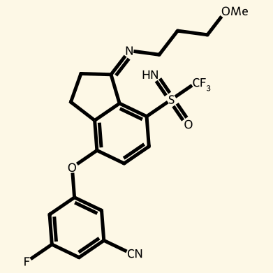 COCCC/N=C1/CCc2c(Oc3cc(F)cc(C#N)c3)ccc(S(=N)(=O)C(F)(F)F)c21